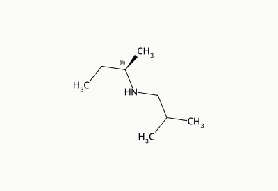 CC[C@@H](C)NCC(C)C